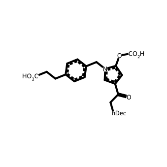 CCCCCCCCCCCC(=O)c1cc(OC(=O)O)n(Cc2ccc(CCC(=O)O)cc2)c1